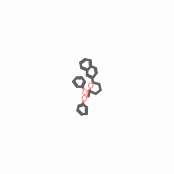 c1ccc(OCC2(Oc3ccccc3)CCCC(c3ccc4ccccc4c3)O2)cc1